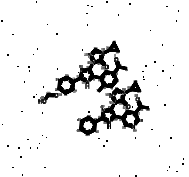 CC(=O)c1ccc(C)c(-c2[nH]c(-c3ccccc3)nc2-n2ncn(C3CC3)c2=O)c1.CC(=O)c1cncc(-c2[nH]c(-c3ccccc3)nc2-n2ncn(C3CC3)c2=O)c1.O=CO